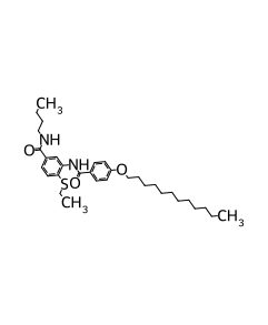 CCCCCCCCCCCCOc1ccc(C(=O)Nc2cc(C(=O)NCCCC)ccc2SCC)cc1